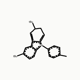 Cc1ccc(-n2c3c(c4cc(C(C)(C)C)ccc42)=CC(C(C)(C)C)CC=3)cc1